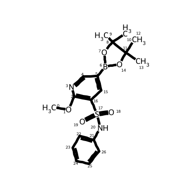 COc1ncc(B2OC(C)(C)C(C)(C)O2)cc1S(=O)(=O)Nc1ccccc1